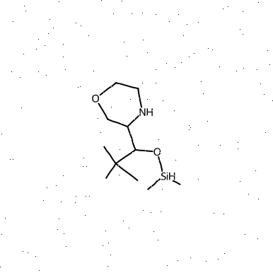 C[SiH](C)OC(C1COCCN1)C(C)(C)C